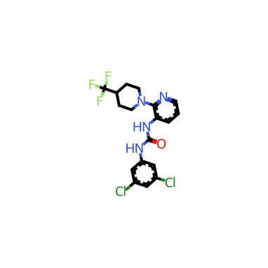 O=C(Nc1cc(Cl)cc(Cl)c1)Nc1cccnc1N1CCC(C(F)(F)F)CC1